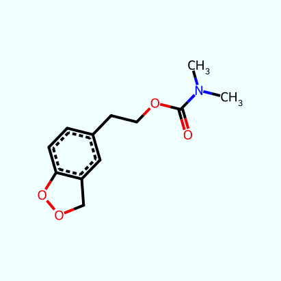 CN(C)C(=O)OCCc1ccc2c(c1)COO2